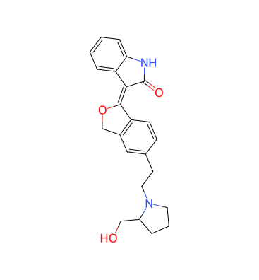 O=C1Nc2ccccc2C1=C1OCc2cc(CCN3CCCC3CO)ccc21